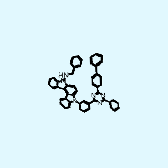 c1ccc(CNn2c3ccccc3c3c4c5ccccc5n(-c5cccc(-c6nc(-c7ccccc7)nc(-c7ccc(-c8ccccc8)cc7)n6)c5)c4ccc32)cc1